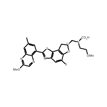 COCCN(C[C@@H]1Cc2c(c(F)cc3nc(-c4cc(C)cc5nc(OC)cnc45)sc23)O1)C(=O)O